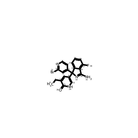 CCc1cc(C2(c3ccnc(Br)c3)N=C(N)c3c(F)cccc32)c[nH]c1=O